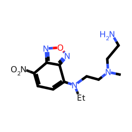 CCN(CCN(C)CCN)c1ccc([N+](=O)[O-])c2nonc12